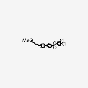 COCCCCC[SiH]1CCC(c2ccc(C(=O)Oc3ccc(Cl)c(Cl)c3)cc2)CC1